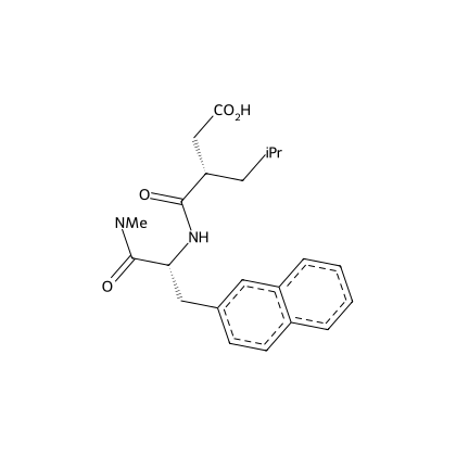 CNC(=O)[C@@H](Cc1ccc2ccccc2c1)NC(=O)[C@H](CC(=O)O)CC(C)C